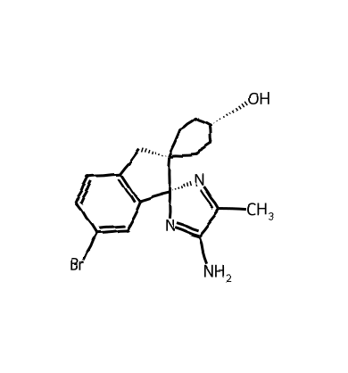 CC1=N[C@]2(N=C1N)c1cc(Br)ccc1C[C@]21CC[C@@H](O)CC1